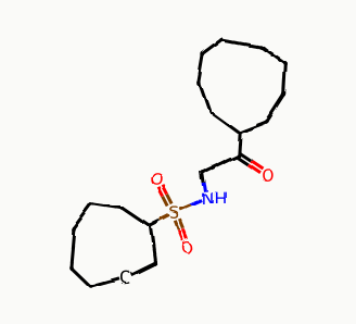 O=C(CNS(=O)(=O)C1CCCCCCC1)C1CCCCCCCC1